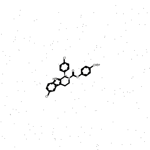 COc1ccc(OC(=O)N2CCc3c([nH]c4ccc(Cl)cc34)[C@H]2c2ccc(Cl)cc2)cc1